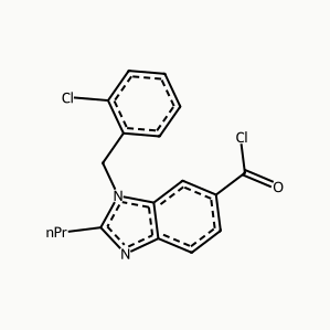 CCCc1nc2ccc(C(=O)Cl)cc2n1Cc1ccccc1Cl